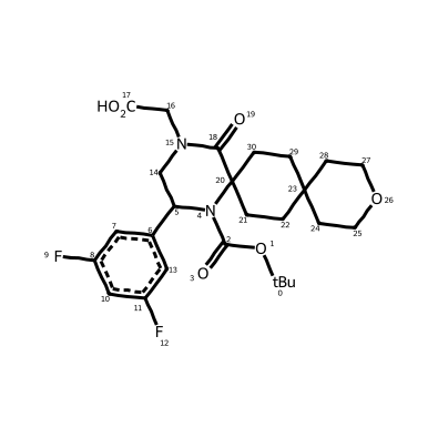 CC(C)(C)OC(=O)N1C(c2cc(F)cc(F)c2)CN(CC(=O)O)C(=O)C12CCC1(CCOCC1)CC2